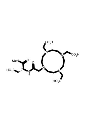 CNC(=O)[C@@H](CS(=O)(=O)O)NC(=O)CN1CCN(CC(=O)O)CCN(CC(=O)O)CCN(CC(=O)O)CC1